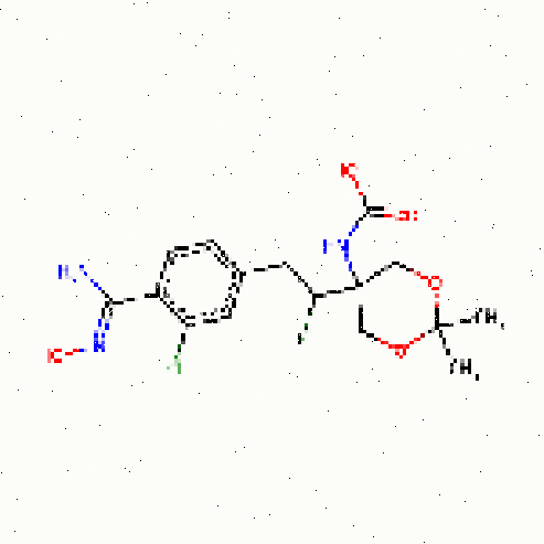 CC1(C)OCC(NC(=O)O)(C(F)Cc2ccc(C(N)=NO)c(Cl)c2)CO1